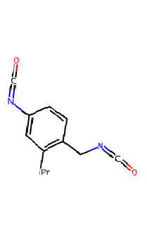 CC(C)c1cc(N=C=O)ccc1CN=C=O